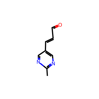 Cc1ncc(/C=C/C=O)cn1